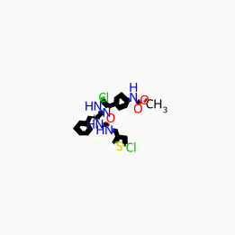 COC(=O)Nc1ccc(-c2nc([C@H](Cc3ccccc3)NC(=O)NCc3csc(Cl)c3)[nH]c2Cl)cc1